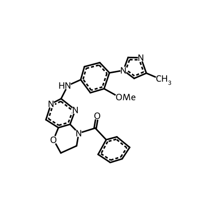 COc1cc(Nc2ncc3c(n2)N(C(=O)c2ccccc2)CCO3)ccc1-n1cnc(C)c1